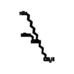 CCCCC=CC=CC=CCCCCCCCC(=O)O.CCCCCCCCCCCCCCCCCCCCC